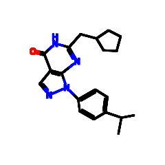 CC(C)c1ccc(-n2ncc3c(=O)[nH]c(CC4CCCC4)nc32)cc1